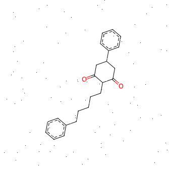 O=C1CC(c2ccccc2)CC(=O)C1CCCCCc1ccccc1